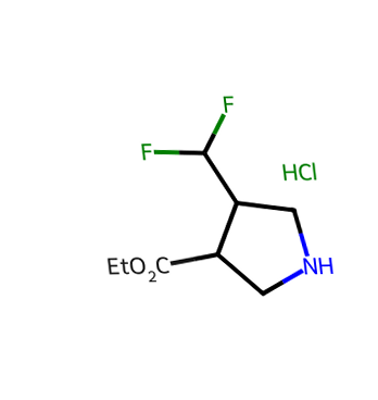 CCOC(=O)C1CNCC1C(F)F.Cl